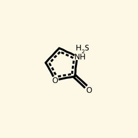 O=c1[nH]cco1.S